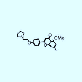 COc1cc(C)cc2oc(-c3ccc(OCCN4CCCC4)cc3)cc(=O)c12